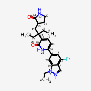 CCn1ncc2c(F)cc(-c3ccc(C(CC)(CC)CC4CCNC4=O)c(=O)[nH]3)cc21